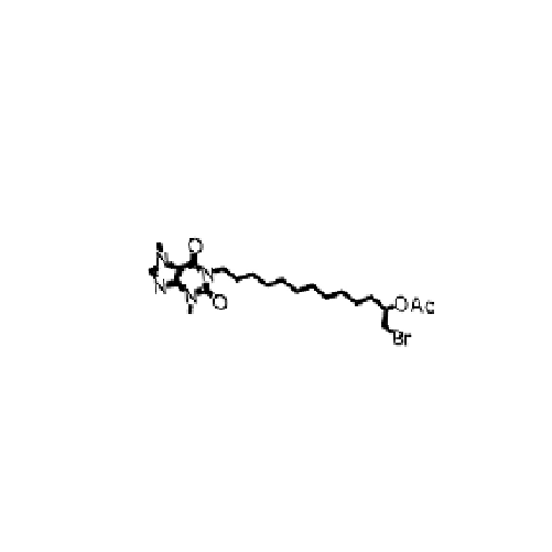 CC(=O)OC(CBr)CCCCCCCCCCCn1c(=O)c2c(ncn2C)n(C)c1=O